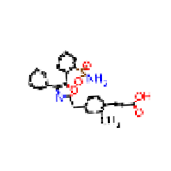 Cc1cc(Cc2nc(-c3ccccc3)c(-c3ccccc3S(N)(=O)=O)o2)ccc1C#CC(=O)O